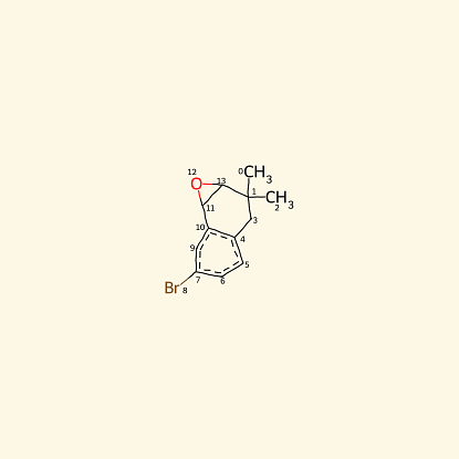 CC1(C)Cc2ccc(Br)cc2C2OC21